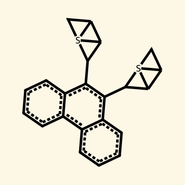 c1ccc2c(c1)c(C1C3C4CS413)c(C1C3C4CS413)c1ccccc12